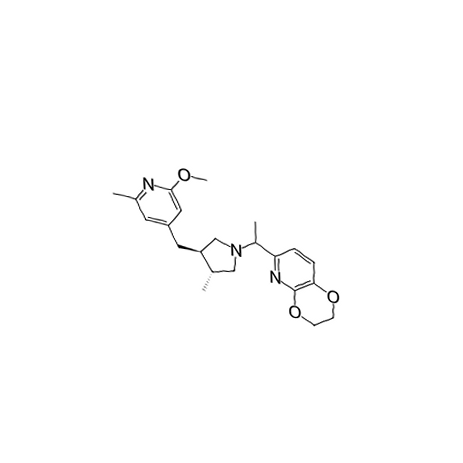 COc1cc(C[C@H]2CN(C(C)c3ccc4c(n3)OCCO4)C[C@@H]2C)cc(C)n1